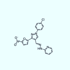 O=[N+]([O-])c1ccc(-c2nn(-c3ccc(Cl)cc3)cc2C=NNc2ccccn2)o1